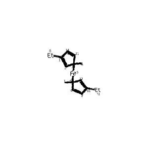 CCC1=C[C](C)([Fe][C]2(C)C=CC(CC)=C2)C=C1